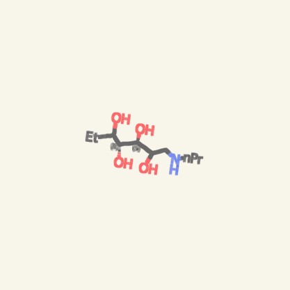 CCCNCC(O)[C@H](O)[C@H](O)C(O)CC